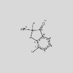 CCCC1(C)Cc2c(C)cccc2C1=O